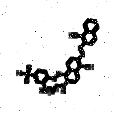 CCS(=O)(=O)c1ccc(/N=N/c2c(NCS(=O)(=O)O)ccc3c(O)c(/N=N/c4ccc5ccccc5c4O)ccc23)c(S(=O)(=O)O)c1